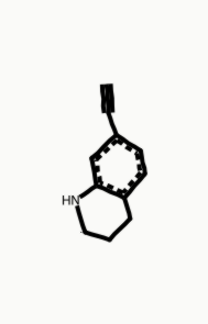 C#Cc1ccc2c(c1)N[CH]CC2